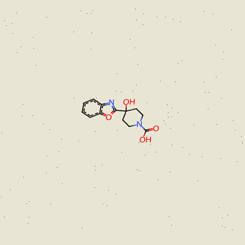 O=C(O)N1CCC(O)(c2nc3ccccc3o2)CC1